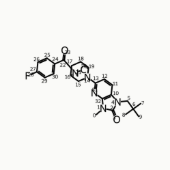 Cn1c(=O)n(CC(C)(C)C)c2ccc(N3CC4CCC3CN4C(=O)c3ccc(F)cc3)nc21